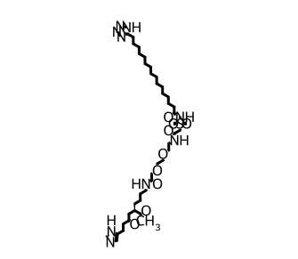 CC(=O)[C@H](CCCCNC(=O)COCCOCCNC(=O)CS(=O)(=O)NC(=O)CCCCCCCCCCCCCCCc1nnn[nH]1)CC(=O)CCc1cnc[nH]1